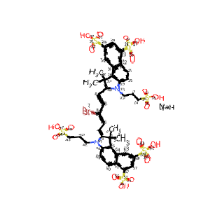 CC1(C)\C(=C/C=C(Br)/C=C/C2N(CCCS(=O)(=O)O)c3ccc4c(S(=O)(=O)O)cc(S(=O)(=O)O)cc4c3C2(C)C)N(CCCS(=O)(=O)O)c2ccc3c(S(=O)(=O)O)cc(S(=O)(=O)O)cc3c21.[NaH]